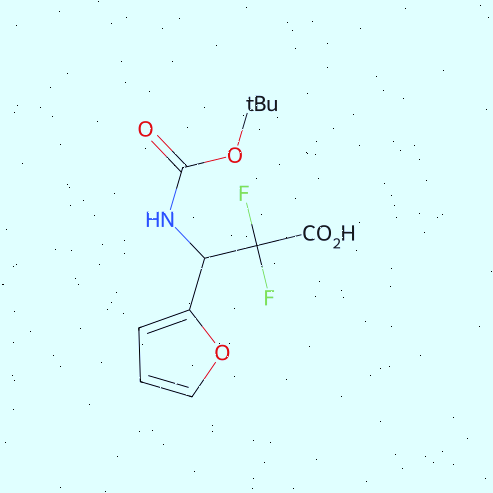 CC(C)(C)OC(=O)NC(c1ccco1)C(F)(F)C(=O)O